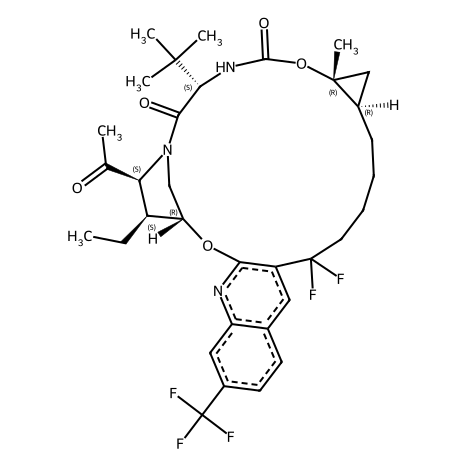 CC[C@@H]1[C@@H]2CN(C(=O)[C@H](C(C)(C)C)NC(=O)O[C@]3(C)C[C@H]3CCCCC(F)(F)c3cc4ccc(C(F)(F)F)cc4nc3O2)[C@@H]1C(C)=O